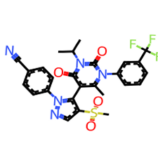 Cc1c(-c2c(S(C)(=O)=O)cnn2-c2ccc(C#N)cc2)c(=O)n(C(C)C)c(=O)n1-c1cccc(C(F)(F)F)c1